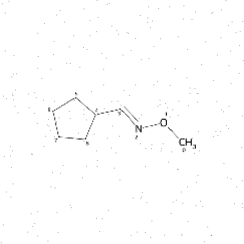 CON=CC1CCCC1